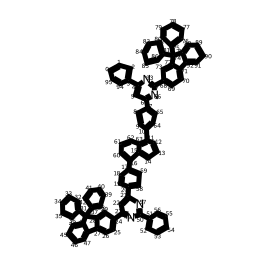 c1ccc(-c2cc(-c3ccc(-c4cccc5c(-c6ccc(-c7cc(-c8ccc9c(c8)C(c8ccccc8)(c8ccccc8)c8ccccc8-9)nc(-c8ccccc8)n7)cc6)cccc45)cc3)nc(-c3ccc4c(c3)C(c3ccccc3)(c3ccccc3)c3ccccc3-4)n2)cc1